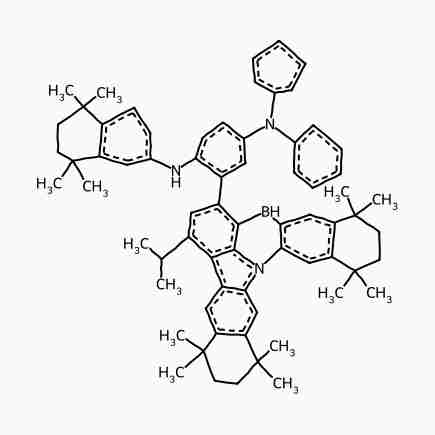 CC(C)c1cc(-c2cc(N(c3ccccc3)c3ccccc3)ccc2Nc2ccc3c(c2)C(C)(C)CCC3(C)C)c2c3c1c1cc4c(cc1n3-c1cc3c(cc1B2)C(C)(C)CCC3(C)C)C(C)(C)CCC4(C)C